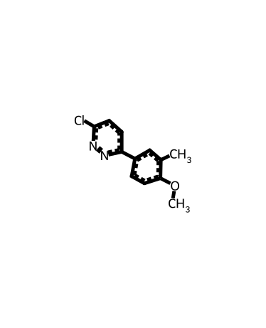 COc1ccc(-c2ccc(Cl)nn2)cc1C